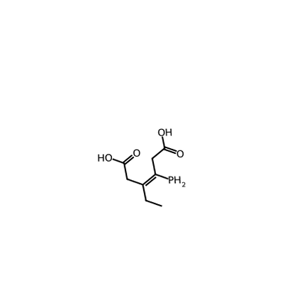 CCC(CC(=O)O)=C(P)CC(=O)O